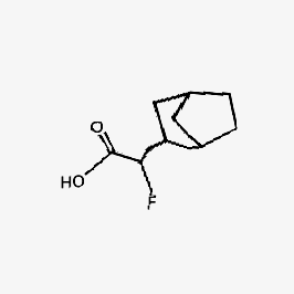 O=C(O)C(F)C1CC2CCC1C2